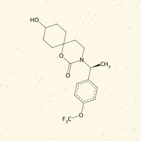 C[C@@H](c1ccc(OC(F)(F)F)cc1)N1CCC2(CCC(O)CC2)OC1=O